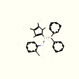 CC1=C(C)C(C)[C]([Hf]([NH]c2ccccc2C(C)C)[SiH](c2ccccc2)c2ccccc2)=C1C.Cl.Cl